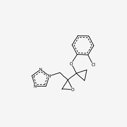 Clc1ccccc1OC1(C2(Cn3cncn3)CO2)CC1